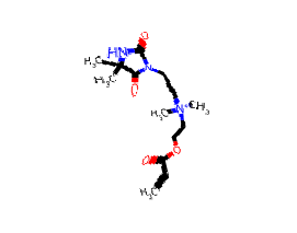 C=CC(=O)OCC[N+](C)(C)CCCN1C(=O)NC(C)(C)C1=O